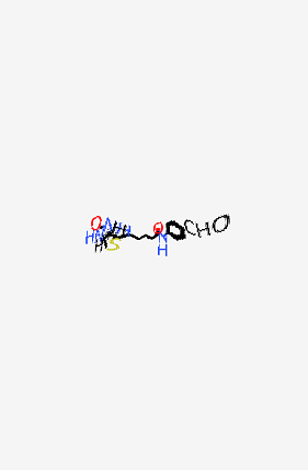 O=Cc1ccc(NC(=O)CCCCC2SC[C@@H]3NC(=O)N[C@H]23)cc1